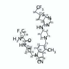 Cc1c(CN2CCC(Nc3ncnc4sc(CC(F)(F)F)cc34)CC2)ccc2c1cc(C#N)n2CC12CC(NC(=O)C(N)CC(F)(F)F)(C1)C2